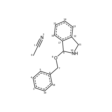 CC#N.c1ccc(COC2NCc3ccccc32)cc1